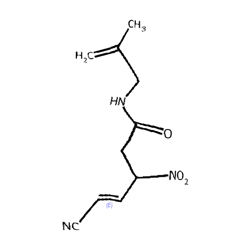 C=C(C)CNC(=O)CC(/C=C/C#N)[N+](=O)[O-]